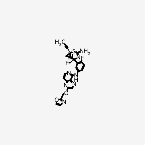 CC#C[C@]12C[C@H]1[C@@](CF)(c1cc(Nc3nccc4nc(OCc5ncco5)cnc34)ccc1F)N=C(N)S2